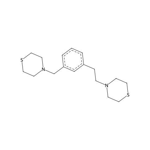 c1cc(CCN2CCSCC2)cc(CN2CCSCC2)c1